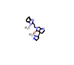 Cn1nccc1-c1ccnc2c1C(=O)N(CCc1nc3ccccc3n1C)C2